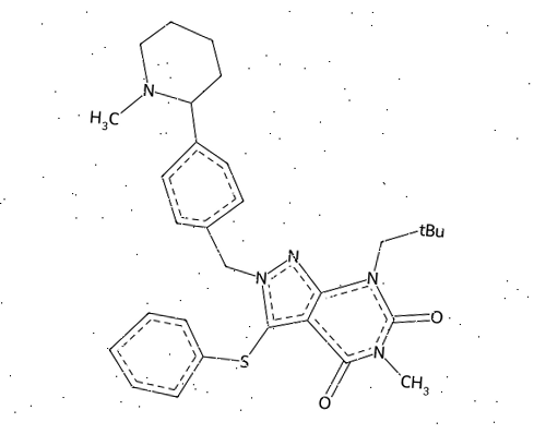 CN1CCCCC1c1ccc(Cn2nc3c(c2Sc2ccccc2)c(=O)n(C)c(=O)n3CC(C)(C)C)cc1